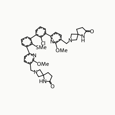 COc1nc(-c2cccc(-c3cccc(-c4ccc(CN5CC6(CCC(=O)N6)C5)c(OC)n4)c3SC)c2Cl)ccc1CN1CC2(CCC(=O)N2)C1